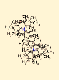 Cc1c(C)c(C)c(N(c2c(C)c(C)c(C)c(C)c2C)c2c(C)c(C)c(-c3c(C)c(C)c(N(c4c(C)c(C)c(C)c(C)c4C)c4c(C)c(C)c(C)c(C)c4C)c(C)c3C)c(C)c2C)c(C)c1C